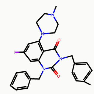 Cc1ccc(Cn2c(=O)c3c(N4CCN(C)CC4)cc(I)cc3n(Cc3ccccc3)c2=O)cc1